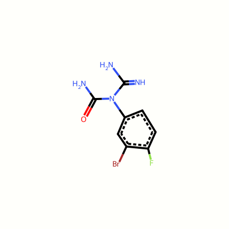 N=C(N)N(C(N)=O)c1ccc(F)c(Br)c1